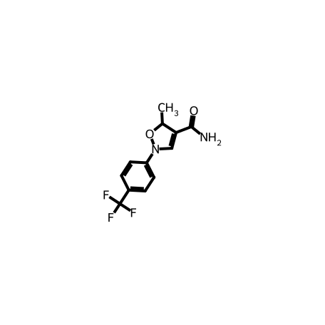 CC1ON(c2ccc(C(F)(F)F)cc2)C=C1C(N)=O